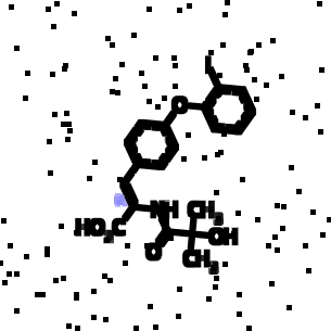 CC(C)(O)C(=O)N/C(=C\c1ccc(Oc2ccccc2I)cc1)C(=O)O